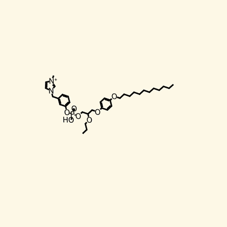 CCCCCCCCCCCCOc1ccc(OCC(COP(=O)(O)Oc2cccc(Cn3cc[n+](C)c3)c2)OCCC)cc1